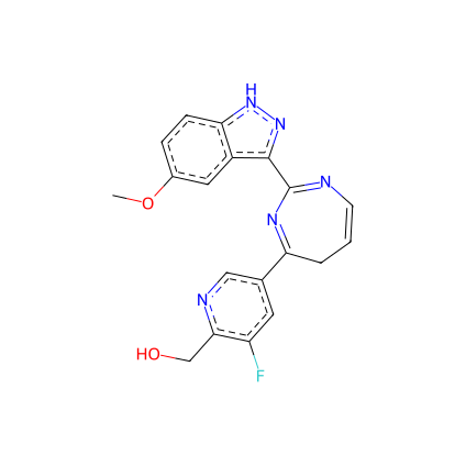 COc1ccc2[nH]nc(C3=NC=CCC(c4cnc(CO)c(F)c4)=N3)c2c1